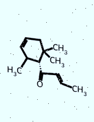 CC=CC(=O)[C@@H]1C(C)C=CCC1(C)C